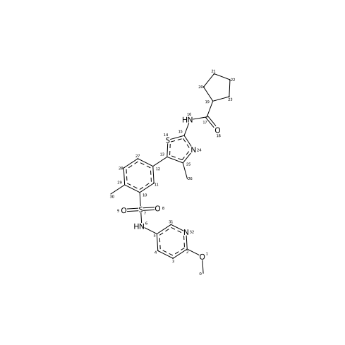 COc1ccc(NS(=O)(=O)c2cc(-c3sc(NC(=O)C4CCCC4)nc3C)ccc2C)cn1